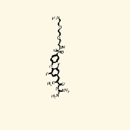 C/C(=C\c1cc(F)c(Oc2ccc(S(=O)(=O)NCCOCCOCCN)cc2)c(F)c1)C(=O)N=C(N)N